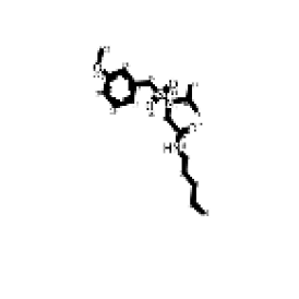 CCCCCNC(=O)CN(C(C)C)S(=O)(=O)Cc1cccc(OC)c1